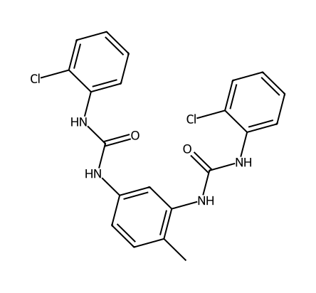 Cc1ccc(NC(=O)Nc2ccccc2Cl)cc1NC(=O)Nc1ccccc1Cl